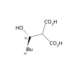 CC[C@H](C)[C@H](O)C(C(=O)O)C(=O)O